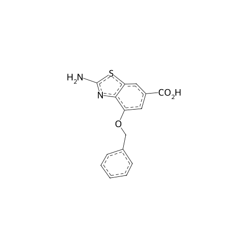 Nc1nc2c(OCc3ccccc3)cc(C(=O)O)cc2s1